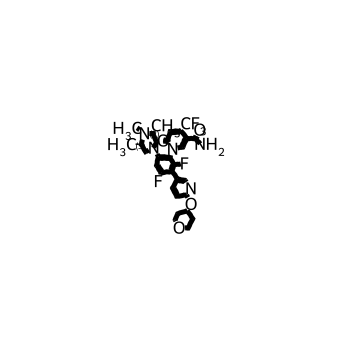 C[C@@H]1CN(c2cc(F)c(-c3ccc(OC4CCOCC4)nc3)c(F)c2-n2cc(C(N)=O)c(C(F)(F)F)cc2=O)C[C@H](C)N1C